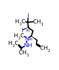 C=CC[C@H](C[C@@H](I)C(C)(C)I)N(C)NC(=C)C